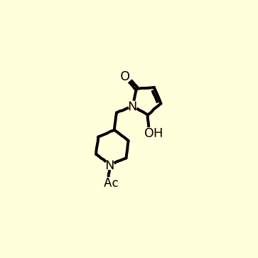 CC(=O)N1CCC(CN2C(=O)C=CC2O)CC1